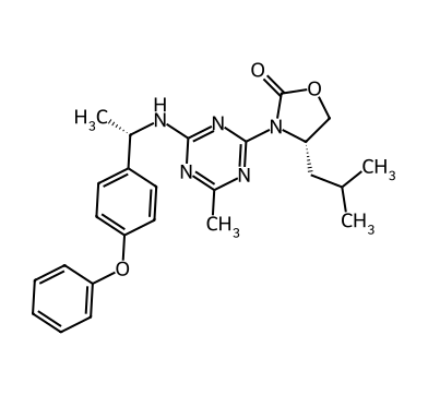 Cc1nc(N[C@@H](C)c2ccc(Oc3ccccc3)cc2)nc(N2C(=O)OC[C@@H]2CC(C)C)n1